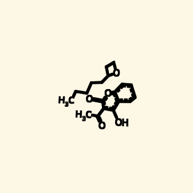 CC(=O)c1c(O)c2ccccc2oc1=O.CCCCCC1CCO1